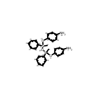 C[Si](Oc1ccc(N)cc1)(O[Si](C)(Oc1ccc(N)cc1)c1ccccc1)c1ccccc1